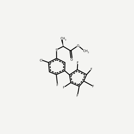 COC(=O)[C@H](C)Sc1cc(-c2c(F)c(F)c(F)c(F)c2F)c(F)cc1Cl